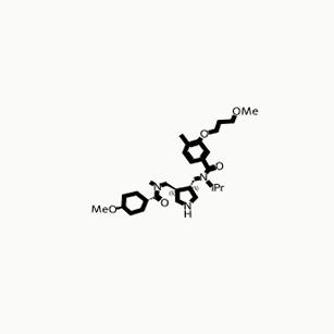 COCCCOc1cc(C(=O)N(C[C@@H]2CNC[C@H]2CN(C)C(=O)[C@H]2CC[C@H](OC)CC2)C(C)C)ccc1C